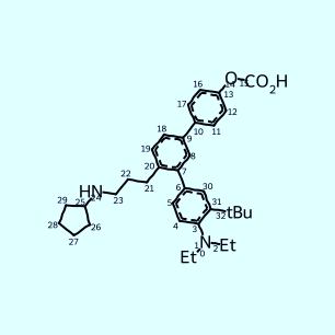 CCN(CC)c1ccc(-c2cc(-c3ccc(OC(=O)O)cc3)ccc2CCCNC2CCCC2)cc1C(C)(C)C